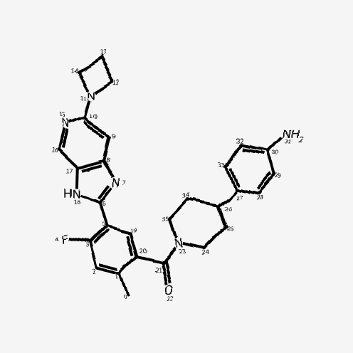 Cc1cc(F)c(-c2nc3cc(N4CCC4)ncc3[nH]2)cc1C(=O)N1CCC(c2ccc(N)cc2)CC1